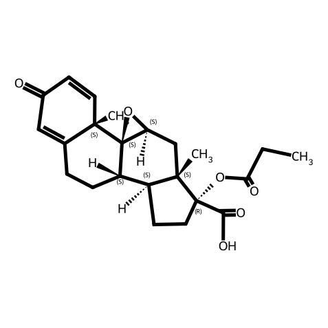 CCC(=O)O[C@]1(C(=O)O)CC[C@H]2[C@@H]3CCC4=CC(=O)C=C[C@]4(C)[C@@]34O[C@H]4C[C@@]21C